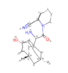 N#CC1CCCCN1C(=O)C(N)C12C[C@@H]3C[C@@H](CC(O)(C3)C1)C2